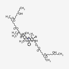 CCCCC(O)CCCCC(=O)OC(CCCC)CCCCC(=O)OCCOCCNc1nc(Nc2ccccc2)c(/N=N/c2cc(OC)c(S(=O)(=O)CCN(CCOC(=O)CCCCC(CCCC)OC(=O)CCCCC(O)CCCC)C(C)CC)cc2OC)c(C)c1C#N